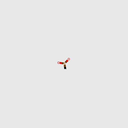 [C]=S(=O)=O